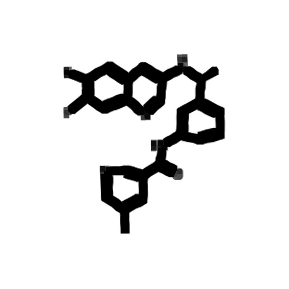 Cc1cncc(C(=O)Nc2cccc([C@H](C)Nc3cnc4cc(F)c(F)cc4c3)c2)c1